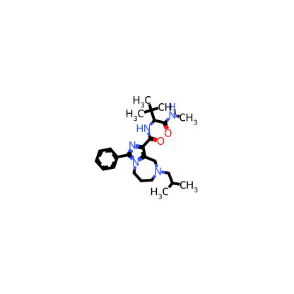 CNC(=O)C(NC(=O)c1nc(-c2ccccc2)n2c1CN(CC(C)C)CCC2)C(C)(C)C